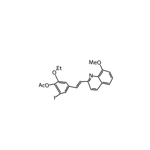 CCOc1cc(/C=C/c2ccc3cccc(OC)c3n2)cc(I)c1OC(C)=O